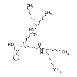 CCCCCCCCC(CCCCCC)CNC(=O)CCCCCC(CCCCCC(=O)NCC(CCCCCC)CCCCCCCC)CCN(CCO)C1CCCCC1